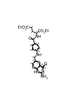 CCOC(=O)CC[C@H](NC(=O)c1ccc(NCc2cnc3[nH]c(N)nc(=O)c3n2)cc1)C(=O)OCC